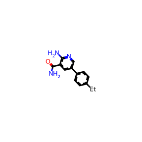 CCc1ccc(-c2cnc(N)c(C(N)=O)c2)cc1